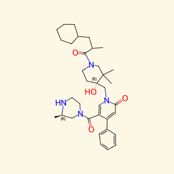 CC(CC1CCCCC1)C(=O)N1CC[C@](O)(Cn2cc(C(=O)N3CCN[C@H](C)C3)c(-c3ccccc3)cc2=O)C(C)(C)C1